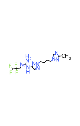 Cc1ncn(CCCCn2ncc(N/C(N)=N\CC(F)(F)C(F)F)n2)n1